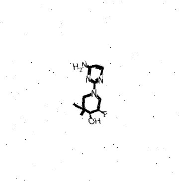 CC1(C)CN(c2nccc(N)n2)C[C@@H](F)[C@H]1O